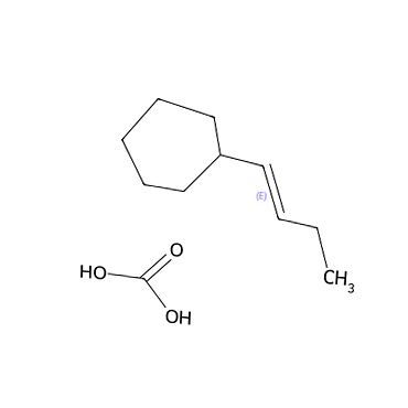 CC/C=C/C1CCCCC1.O=C(O)O